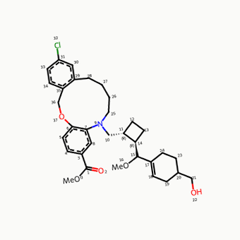 COC(=O)c1ccc2c(c1)N(C[C@@H]1CC[C@H]1C(OC)C1=CCC(CO)CC1)CCCCc1cc(Cl)ccc1CO2